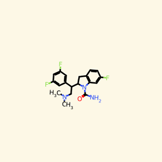 CN(C)CC(c1cc(F)cc(F)c1)C1Cc2ccc(F)cc2N1C(N)=O